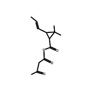 CC=CC1C(C(=O)OC(=O)CC(C)=O)C1(C)C